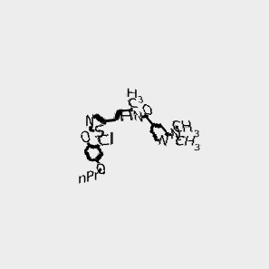 CCCOc1ccc(Oc2ncc(/C=C/[C@H](C)NC(=O)c3ccnc(N(C)C)c3)s2)c(Cl)c1